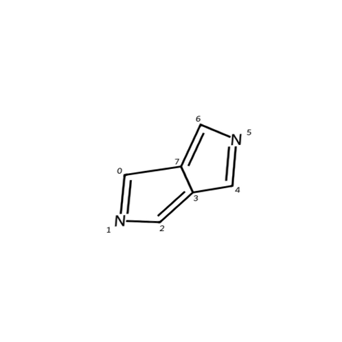 C1=NC=C2C=NC=C12